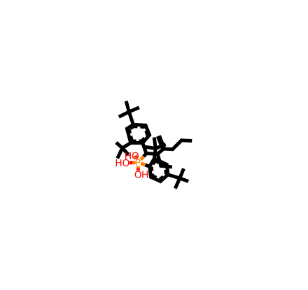 C=C(CCC)C(CC)C(c1ccc(C(C)(C)C)cc1C(C)(C)C)P(O)(O)(O)c1ccc(C(C)(C)C)cc1C(C)(C)C